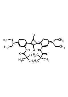 CCN(CC)c1ccc(C2=C([O-])/C(=C3/C=CC(=[N+](CC)CC)C=C3NC(=O)C(C)(C)C)C2=O)c(NC(=O)C(C)(C)C)c1